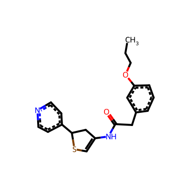 CCCOc1cccc(CC(=O)NC2=CSC(c3ccncc3)C2)c1